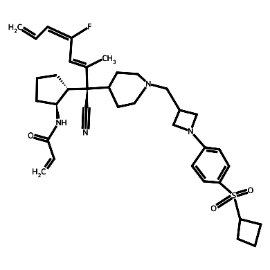 C=C/C=C(F)\C=C(/C)[C@](C#N)(C1CCN(CC2CN(c3ccc(S(=O)(=O)C4CCC4)cc3)C2)CC1)[C@H]1CCC[C@@H]1NC(=O)C=C